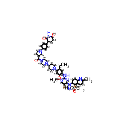 CCc1cc(Nc2ncc(Br)c(Nc3ccc4nc(C)ccc4c3P(C)(C)=O)n2)c(OC)cc1N1CCC(N2CCN(C(=O)C3CCN(c4ccc(C5CCC(=O)NC5=O)cc4)C3)CC2)CC1